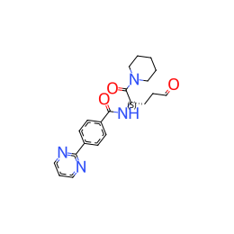 O=CCC[C@H](NC(=O)c1ccc(-c2ncccn2)cc1)C(=O)N1CCCCC1